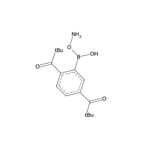 CC(C)(C)C(=O)c1ccc(C(=O)C(C)(C)C)c(B(O)ON)c1